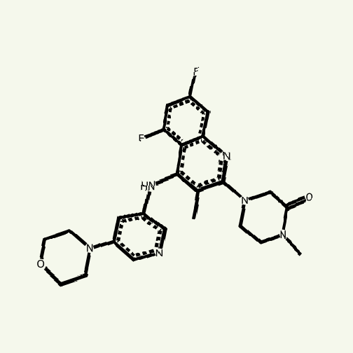 Cc1c(N2CCN(C)C(=O)C2)nc2cc(F)cc(F)c2c1Nc1cncc(N2CCOCC2)c1